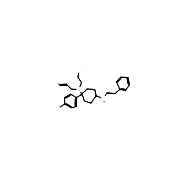 CC=CCN(CCC)C1(c2ccc(Cl)cc2)CCC(N(C)CCc2ccccc2)CC1